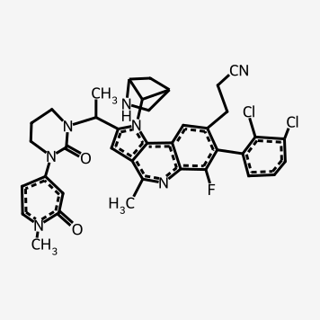 Cc1nc2c(F)c(-c3cccc(Cl)c3Cl)c(CCC#N)cc2c2c1cc(C(C)N1CCCN(c3ccn(C)c(=O)c3)C1=O)n2C1C2CNC1C2